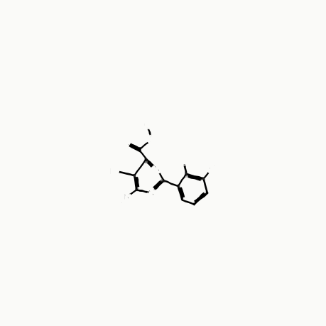 COC(=O)c1nc(-c2cccc(Cl)c2Cl)nc(N)c1Br